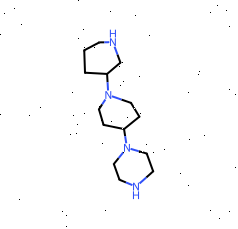 C1CNCC(N2CCC(N3CCNCC3)CC2)C1